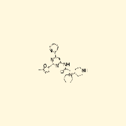 Cc1ccc(-c2nc(NC(=O)C[N+]3(C4CCNCC4)CCCCC3)cc(-c3ccccn3)n2)o1